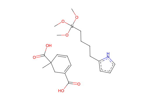 CC1(C(=O)O)C=CC=C(C(=O)O)C1.CO[Si](CCCCc1ccc[nH]1)(OC)OC